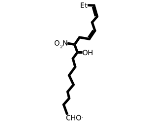 CC/C=C\C/C=C\CC(C(O)CCCCCCC[C]=O)[N+](=O)[O-]